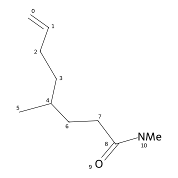 C=CCCC(C)CCC(=O)NC